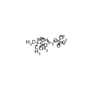 CCCC(C)(C)[Si](C)(C)OCCOS(=O)(=O)C(F)(F)F